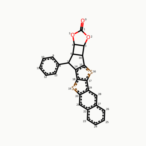 O=C1OC2C(O1)C1C(c3ccccc3)c3c(sc4c3sc3cc5ccccc5cc34)C21